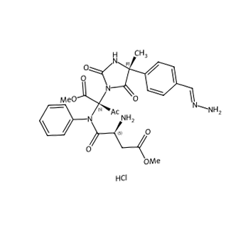 COC(=O)C[C@H](N)C(=O)N(c1ccccc1)[C@](C(C)=O)(C(=O)OC)N1C(=O)N[C@](C)(c2ccc(C=NN)cc2)C1=O.Cl